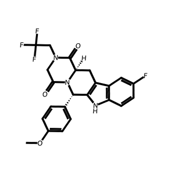 COc1ccc([C@H]2c3[nH]c4ccc(F)cc4c3C[C@@H]3C(=O)N(CC(F)(F)F)CC(=O)N23)cc1